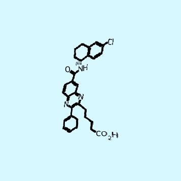 O=C(O)CCCCc1nc2cc(C(=O)N[C@@H]3CCCc4cc(Cl)ccc43)ccc2nc1C1=CC=CCC1